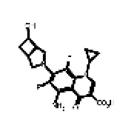 Nc1c(F)c(N2CC3CC(O)C3C2)c(F)c2c1c(=O)c(C(=O)O)cn2C1CC1